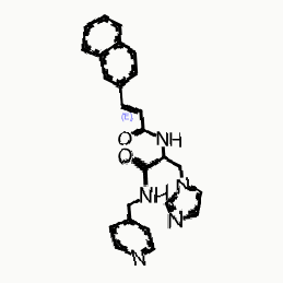 O=C(/C=C/c1ccc2ccccc2c1)NC(Cn1ccnc1)C(=O)NCc1ccncc1